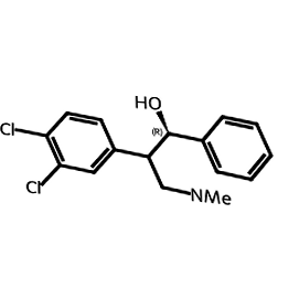 CNCC(c1ccc(Cl)c(Cl)c1)[C@@H](O)c1ccccc1